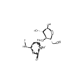 O=c1nc(NF)cc[nH]1.OC[C@H]1OC(O)[C@@H](O)[C@@H]1O